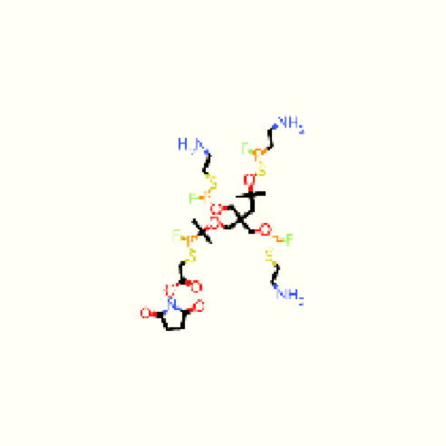 CC(C)(CC(COP(F)SCCN)(COP(F)SCCN)COC(C)(C)P(F)SCC(=O)ON1C(=O)CCC1=O)OSP(F)CCN